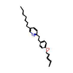 CCCCCCCc1ccc(CCc2ccc(OCCCCC)cc2)nc1